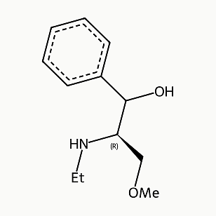 CCN[C@H](COC)C(O)c1ccccc1